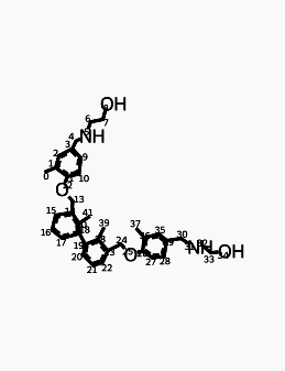 Cc1cc(CNCCO)ccc1OCc1cccc(-c2cccc(COc3ccc(CNCCO)cc3C)c2C)c1C